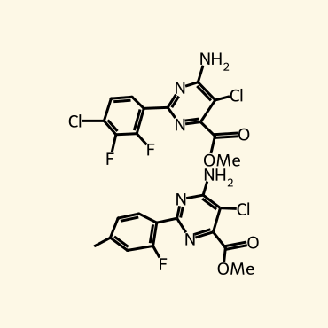 COC(=O)c1nc(-c2ccc(C)cc2F)nc(N)c1Cl.COC(=O)c1nc(-c2ccc(Cl)c(F)c2F)nc(N)c1Cl